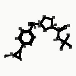 C[C@H]1CC1c1ccc(N[C@@H]2CCN(C(=O)OC(C)(C)C)C2)nc1